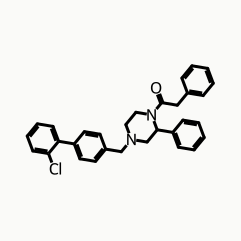 O=C(Cc1ccccc1)N1CCN(Cc2ccc(-c3ccccc3Cl)cc2)CC1c1ccccc1